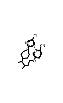 CC(CCOc1ccc(C#N)nc1)C(C)C1CCN(c2ncc(Cl)cn2)CC1